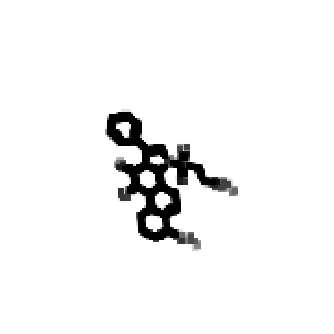 CC1CCCC2C1=CCC1C2C(=O)C(=O)C2C(c3ccccc3)=CN(S(=O)(=O)CCN)C21